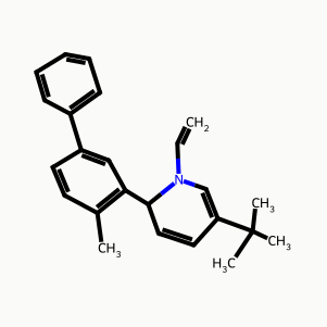 C=CN1C=C(C(C)(C)C)C=CC1c1cc(-c2ccccc2)ccc1C